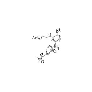 CCc1cnc(Nc2ccc(S(=O)(=O)N(C)C)cc2)nc1NCCNC(C)=O.Cl